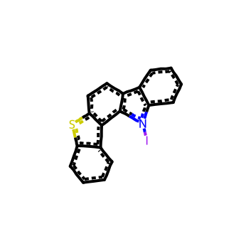 In1c2ccccc2c2ccc3sc4ccccc4c3c21